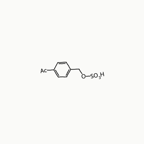 CC(=O)c1ccc(COS(=O)(=O)O)cc1